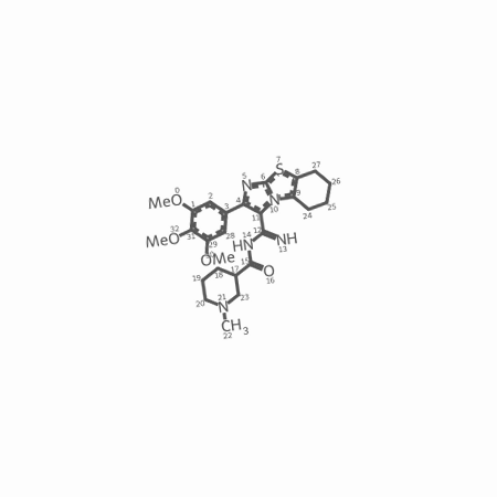 COc1cc(-c2nc3sc4c(n3c2C(=N)NC(=O)C2CCCN(C)C2)CCCC4)cc(OC)c1OC